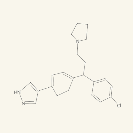 Clc1ccc(C(CCN2CCCC2)C2=CC=C(c3cn[nH]c3)CC2)cc1